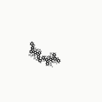 CC(C)c1c2c3cccc4c5cc6c(cc5n(c2c(C(C)C)c2c5cccc7c8cc9c(cc8n(c12)c75)oc1ccccc19)c43)oc1cccc(-c2cccc3c2oc2c3cc3c4c(C(C)C)c5c(c(C(C)C)c4n4c7ccccc7c2c34)c2cc3c4ccccc4oc3c3c4ccccc4n5c23)c16